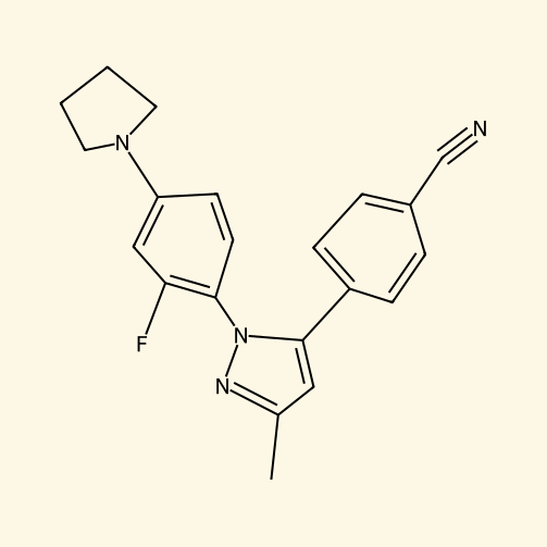 Cc1cc(-c2ccc(C#N)cc2)n(-c2ccc(N3CCCC3)cc2F)n1